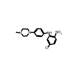 CN1CCN(c2ccc(Nc3cc(Cl)ccc3[N+](=O)[O-])cc2)CC1